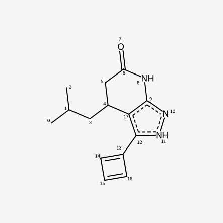 CC(C)CC1CC(=O)Nc2n[nH]c(C3=CC=C3)c21